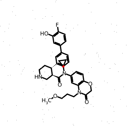 COCCCN1C(=O)COc2ccc(N(C(=O)[C@H]3CNCC[C@@H]3c3cccc(-c4ccc(F)c(O)c4)c3)C3CC3)cc21